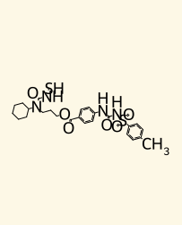 Cc1ccc(S(=O)(=O)NC(=O)Nc2ccc(C(=O)OCCCN(C(=O)NS)C3CCCCC3)cc2)cc1